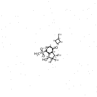 CS(=O)(=O)c1ncc(O[C@H]2C[C@H](F)C2)c2c1[C@H](O)C(F)(F)[C@@H]2F